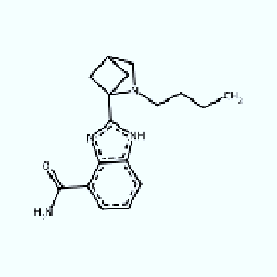 CCCCN1CC2CC1(c1nc3c(C(N)=O)cccc3[nH]1)C2